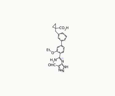 CCOc1cc(-c2cccc(CC3(C(=O)O)CC3)c2)ccc1/C(N)=N/c1[nH]nnc1C=O